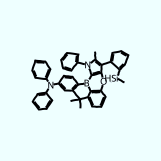 Cc1c(-c2ccccc2[SiH](C)C)c2c(n1-c1ccccc1)B1c3ccc(N(c4ccccc4)c4ccccc4)cc3C(C)(C)c3cccc(c31)O2